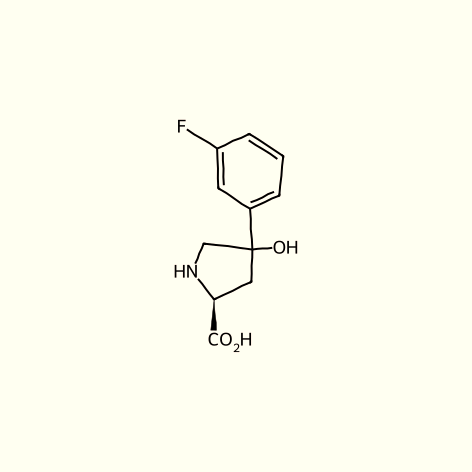 O=C(O)[C@@H]1CC(O)(c2cccc(F)c2)CN1